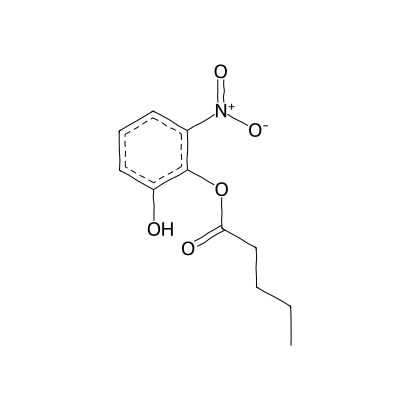 CCCCC(=O)Oc1c(O)cccc1[N+](=O)[O-]